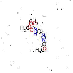 COC(=O)C(=CNc1ccc(CN2CCN(c3ccc(OC)cc3)CC2)cc1)C(=O)OC